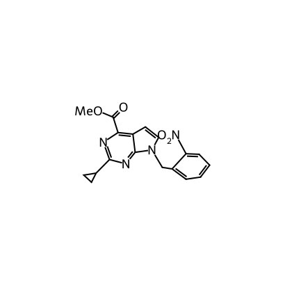 COC(=O)c1nc(C2CC2)nc2c1ccn2Cc1ccccc1[N+](=O)[O-]